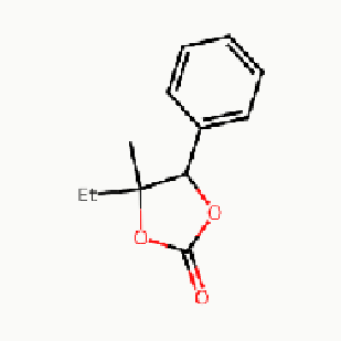 CCC1(C)OC(=O)OC1c1ccccc1